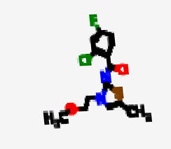 COCCn1cc(C)sc1=NC(=O)c1ccc(F)cc1Cl